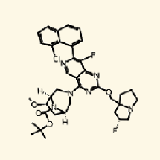 CO[C@@H]1C[C@@H]2CN(c3nc(OCC45CCCN4C[C@H](F)C5)nc4c(F)c(-c5cccc6cccc(Cl)c56)ncc34)C[C@H]1N2C(=O)OC(C)(C)C